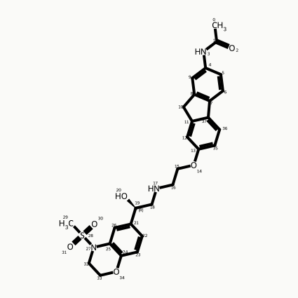 CC(=O)Nc1ccc2c(c1)Cc1cc(OCCNC[C@H](O)c3ccc4c(c3)N(S(C)(=O)=O)CCO4)ccc1-2